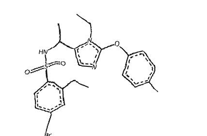 CCc1cc(Br)ccc1S(=O)(=O)NC(C)c1cnc(Oc2ccc(C)cc2)n1CC